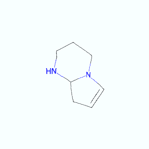 C1=CN2CCCNC2C1